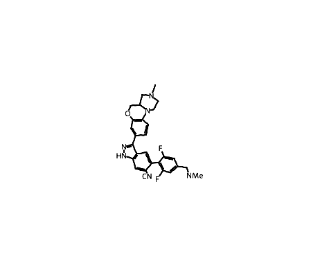 CNCc1cc(F)c(-c2cc3c(-c4ccc5c(c4)OCC4CN(C)CCN54)n[nH]c3cc2C#N)c(F)c1